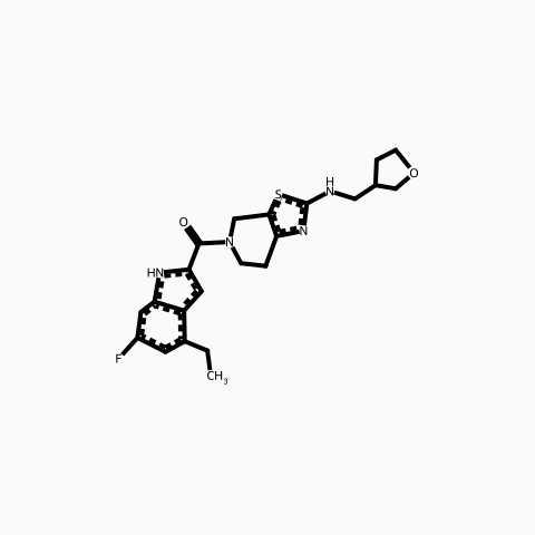 CCc1cc(F)cc2[nH]c(C(=O)N3CCc4nc(NCC5CCOC5)sc4C3)cc12